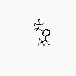 O=C(c1cccc(C(=O)C(F)(F)F)c1)C(F)(F)F